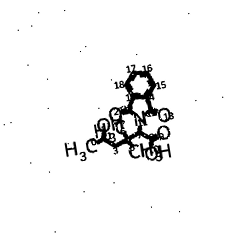 CC(O)CC(C)(C)C(C(=O)O)N1C(=O)c2ccccc2C1=O